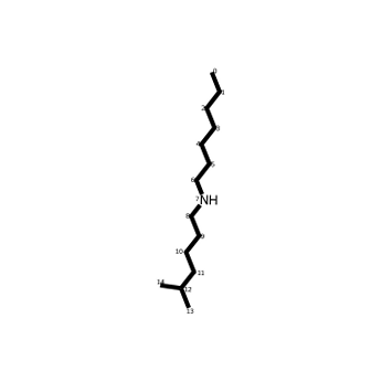 CCCCCCCNCCCCC(C)C